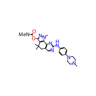 CNC(=O)Oc1nn(C)c2c1C(C)(C)Cc1cnc(Nc3ccc(N4CCN(C)CC4)cc3)nc1-2